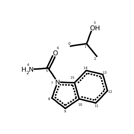 CC(C)O.NC(=O)n1ccc2ccccc21